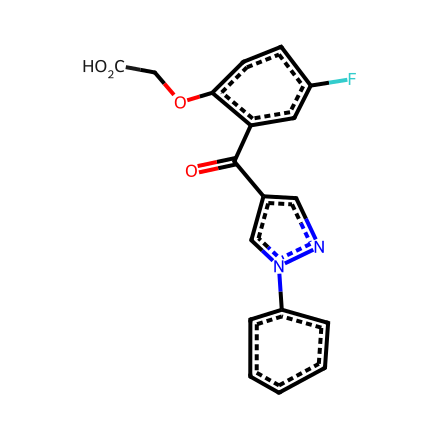 O=C(O)COc1ccc(F)cc1C(=O)c1cnn(-c2ccccc2)c1